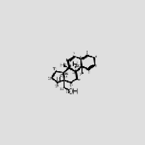 C[C@]12C=CCC=C1C=C[C@H]1[C@@H]3CCC[C@@]3(CO)CC[C@@H]12